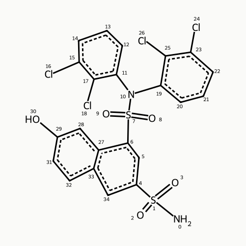 NS(=O)(=O)c1cc(S(=O)(=O)N(c2cccc(Cl)c2Cl)c2cccc(Cl)c2Cl)c2cc(O)ccc2c1